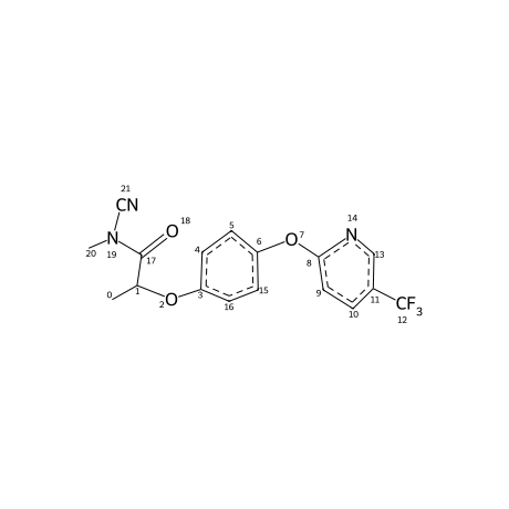 CC(Oc1ccc(Oc2ccc(C(F)(F)F)cn2)cc1)C(=O)N(C)C#N